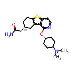 CN(C)[C@H]1CC[C@H](Oc2nccc3sc4c(c23)C[C@H](CC(N)=O)CC4)CC1